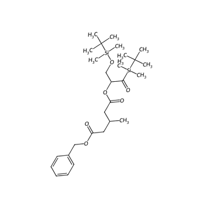 CC(CC(=O)OCc1ccccc1)CC(=O)OC(CO[Si](C)(C)C(C)(C)C)C(=O)[Si](C)(C)C(C)(C)C